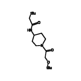 CC(C)(C)CC(=O)NC1CCN(C(=O)COC(C)(C)C)CC1